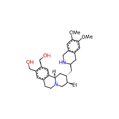 CC[C@H]1CN2CCc3cc(CO)c(CO)cc3[C@@H]2C[C@@H]1CC1Cc2cc(OC)c(OC)cc2CN1